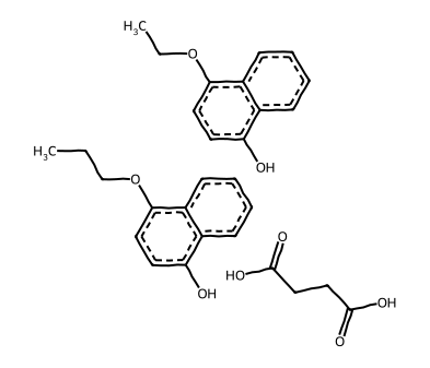 CCCOc1ccc(O)c2ccccc12.CCOc1ccc(O)c2ccccc12.O=C(O)CCC(=O)O